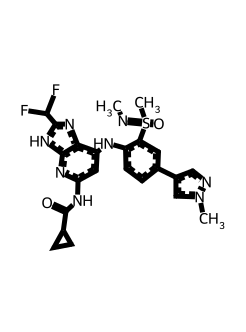 CN=S(C)(=O)c1cc(-c2cnn(C)c2)ccc1Nc1cc(NC(=O)C2CC2)nc2[nH]c(C(F)F)nc12